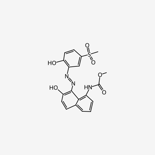 COC(=O)Nc1cccc2ccc(O)c(N=Nc3cc(S(C)(=O)=O)ccc3O)c12